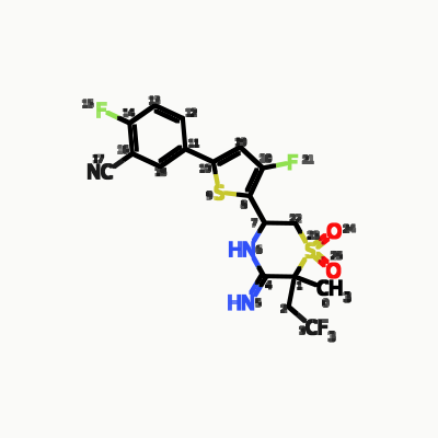 CC1(CC(F)(F)F)C(=N)NC(c2sc(-c3ccc(F)c(C#N)c3)cc2F)CS1(=O)=O